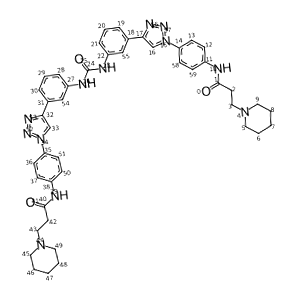 O=C(CCN1CCCCC1)Nc1ccc(-n2cc(-c3cccc(NC(=O)Nc4cccc(-c5cn(-c6ccc(NC(=O)CCN7CCCCC7)cc6)nn5)c4)c3)nn2)cc1